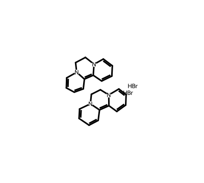 Br.Br.C1=CC2=C3C=CC=CN3CCN2C=C1.C1=CC2=C3C=CC=CN3CCN2C=C1